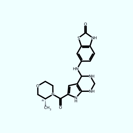 C[C@@H]1COCCN1C(=O)c1cc2c([nH]1)NCNC2Nc1ccc2[nH]c(=O)sc2c1